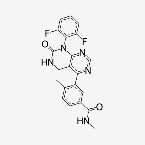 CNC(=O)c1ccc(C)c(-c2ncnc3c2CNC(=O)N3c2c(F)cccc2F)c1